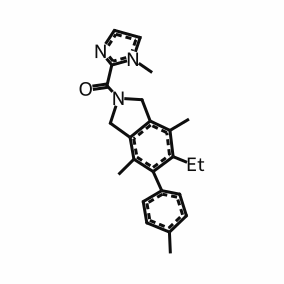 CCc1c(C)c2c(c(C)c1-c1ccc(C)cc1)CN(C(=O)c1nccn1C)C2